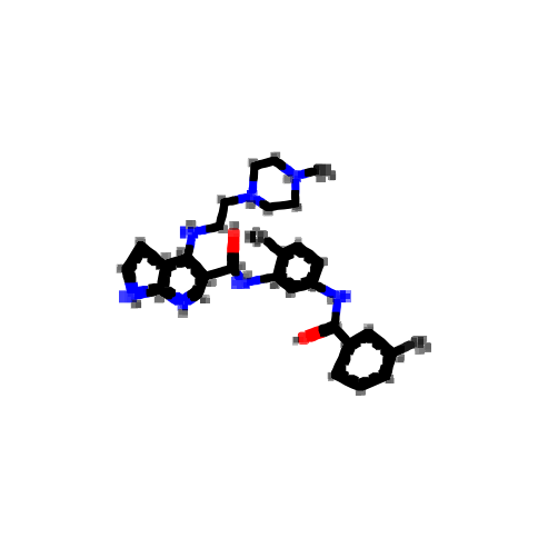 Cc1ccc(NC(=O)c2cccc(C(F)(F)F)c2)cc1NC(=O)c1cnc2[nH]ccc2c1NCCN1CCN(C)CC1